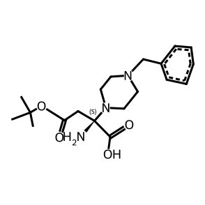 CC(C)(C)OC(=O)C[C@@](N)(C(=O)O)N1CCN(Cc2ccccc2)CC1